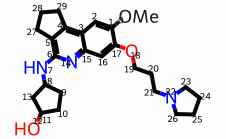 COc1cc2c3c(c(NC4CCC(O)C4)nc2cc1OCCCN1CCCC1)CCC3